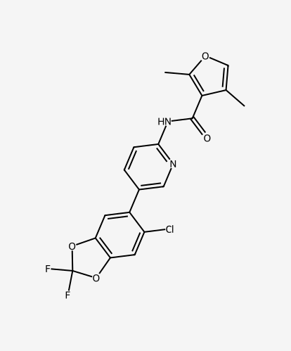 Cc1coc(C)c1C(=O)Nc1ccc(-c2cc3c(cc2Cl)OC(F)(F)O3)cn1